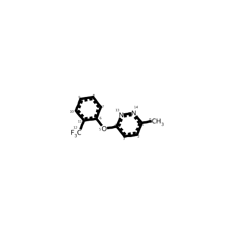 Cc1ccc(Oc2ccccc2C(F)(F)F)nn1